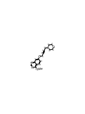 CSc1ncnc2cc(OCC#CCN3CCOCC3)ccc12